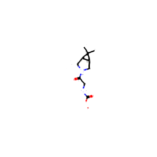 CC(C)(C)OC(=O)NCC(=O)N1CC2C([C@H]1C(=O)O)C2(C)C